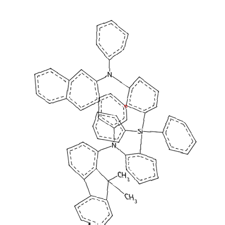 CC1(C)c2ccccc2-c2cccc(N(c3ccccc3)c3ccccc3[Si](c3ccccc3)(c3ccccc3)c3cccc(N(c4ccccc4)c4ccc5ccccc5c4)c3)c21